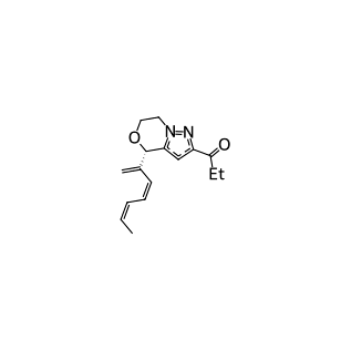 C=C(/C=C\C=C/C)[C@@H]1OCCn2nc(C(=O)CC)cc21